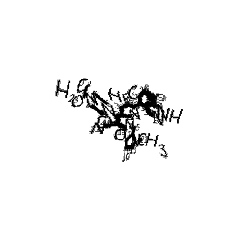 C=CC(=O)N1CCN(c2c(C#N)c(=O)n(CC3CCCN3C)c3nc(-c4c(C)ccc5[nH]ncc45)c(F)cc23)C(C)C1